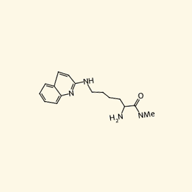 CNC(=O)C(N)CCCCNc1ccc2ccccc2n1